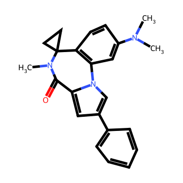 CN(C)c1ccc2c(c1)-n1cc(-c3ccccc3)cc1C(=O)N(C)C21CC1